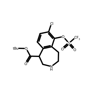 CC(C)(C)OC(=O)C1CNCCc2c1ccc(Cl)c2OS(=O)(=O)C(F)(F)F